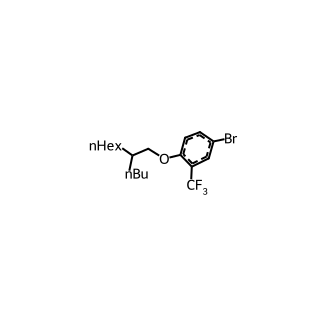 CCCCCCC(CCCC)COc1ccc(Br)cc1C(F)(F)F